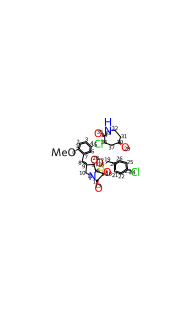 COc1ccc(Cl)cc1C=C1CN2C(=O)CC2(S(=O)(=O)Cc2ccc(Cl)cc2)C1=O.O=C1CCNC(=O)CC1